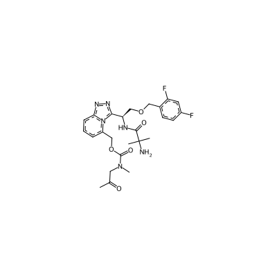 CC(=O)CN(C)C(=O)OCc1cccc2nnc([C@@H](COCc3ccc(F)cc3F)NC(=O)C(C)(C)N)n12